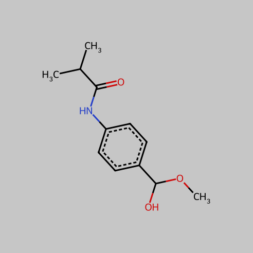 COC(O)c1ccc(NC(=O)C(C)C)cc1